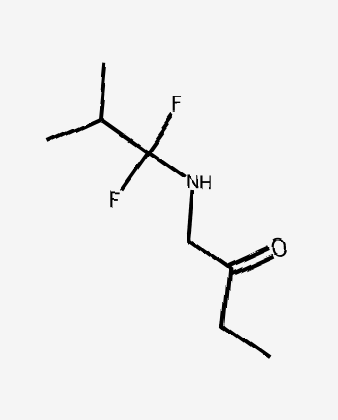 CCC(=O)CNC(F)(F)C(C)C